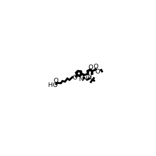 CCOC(=O)c1cn2c(cc1=O)-c1c3cccc(OCCCCCCC(=O)O)c3nn1C[C@H]2C(C)(C)C